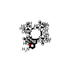 Nc1ccc(CC2CN(C(P(=O)(O)O)P(=O)(O)O)CCN(C(P(=O)(O)O)P(=O)(O)O)CCCN(C(P(=O)(O)O)P(=O)(O)O)CCN(C(P(=O)(O)O)P(=O)(O)O)C2)cc1